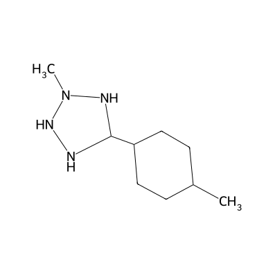 CC1CCC(C2NNN(C)N2)CC1